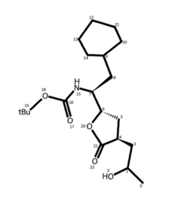 CC(O)C[C@@H]1C[C@@H]([C@H](CC2CCCCC2)NC(=O)OC(C)(C)C)OC1=O